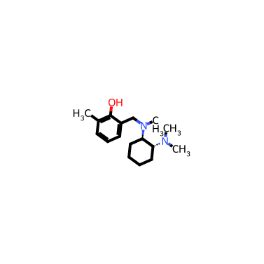 Cc1cccc(CN(C)[C@@H]2CCCC[C@H]2N(C)C)c1O